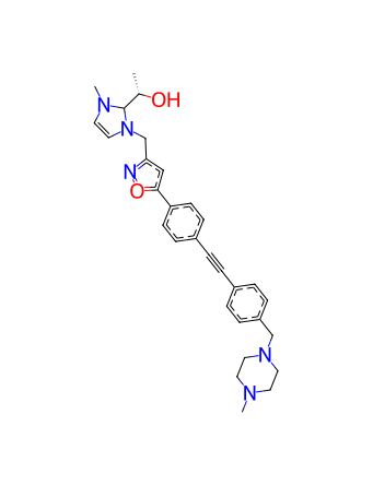 C[C@H](O)C1N(C)C=CN1Cc1cc(-c2ccc(C#Cc3ccc(CN4CCN(C)CC4)cc3)cc2)on1